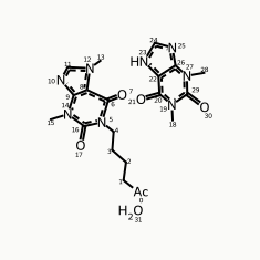 CC(=O)CCCCn1c(=O)c2c(ncn2C)n(C)c1=O.Cn1c(=O)c2[nH]cnc2n(C)c1=O.O